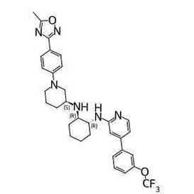 Cc1nc(-c2ccc(N3CCC[C@H](N[C@@H]4CCCC[C@H]4Nc4cc(-c5cccc(OC(F)(F)F)c5)ccn4)C3)cc2)no1